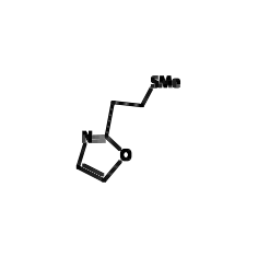 CSCCc1ncco1